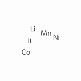 [Co].[Li].[Mn].[Ni].[Ti]